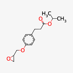 CC(C)OC(=O)CCc1ccc(OCC2CO2)cc1